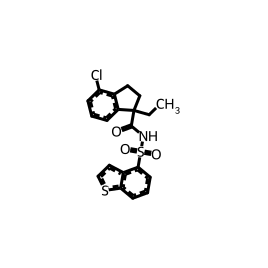 CCC1(C(=O)NS(=O)(=O)c2cccc3sccc23)CCc2c(Cl)cccc21